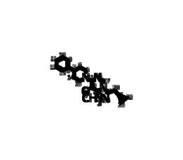 COc1c(N2CCC(c3ccccc3)CC2)ncn2c(CC3CC3)nnc12